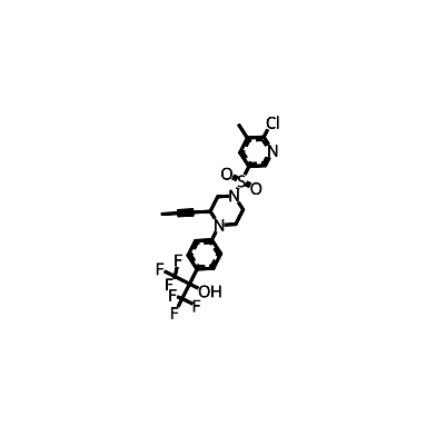 CC#CC1CN(S(=O)(=O)c2cnc(Cl)c(C)c2)CCN1c1ccc(C(O)(C(F)(F)F)C(F)(F)F)cc1